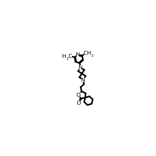 Cc1cc(N2CC3(CN(CCC4CC5(CCCCC5)C(=O)O4)C3)C2)cc(C)n1